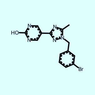 Cc1nc(-c2cnc(O)nc2)nn1Cc1cccc(Br)c1